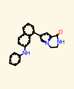 O=C1NCCn2cc(-c3cccc4ccc(Nc5ccccc5)cc34)cc21